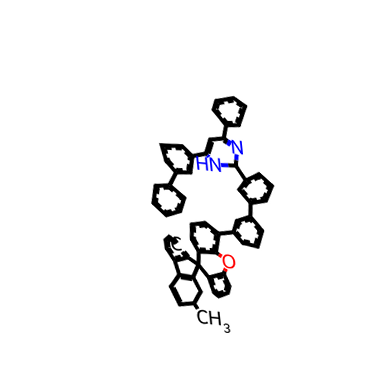 CC1C=CC2=C(C1)C1(c3ccccc3Oc3c(-c4cccc(-c5cccc(C6N=C(c7ccccc7)C=C(c7cccc(-c8ccccc8)c7)N6)c5)c4)cccc31)c1ccccc12